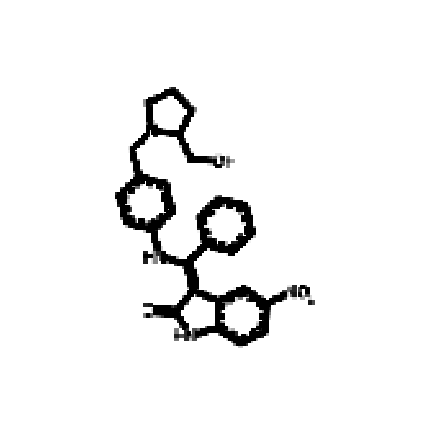 O=C1Nc2ccc([N+](=O)[O-])cc2C1=C(Nc1ccc(CN2CCCC2CO)cc1)c1ccccc1